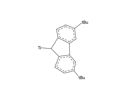 CC(C)(C)c1ccc2c(c1)-c1cc(C(C)(C)C)ccc1[CH]2[Ti]